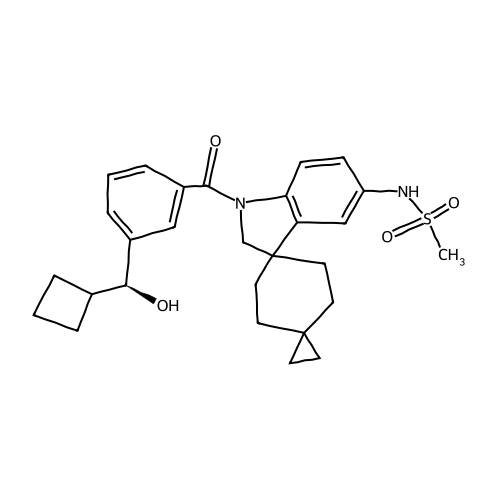 CS(=O)(=O)Nc1ccc2c(c1)C1(CCC3(CC3)CC1)CN2C(=O)c1cccc([C@@H](O)C2CCC2)c1